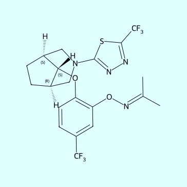 CC(C)=NOc1cc(C(F)(F)F)ccc1O[C@@H]1[C@@H]2CC[C@H]1CN(c1nnc(C(F)(F)F)s1)C2